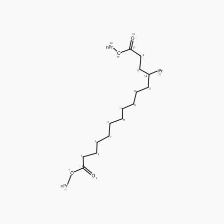 CCCOC(=O)CCCCCCCCCCC(CCC(=O)OCCC)C(C)C